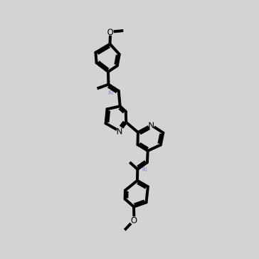 COc1ccc(/C(C)=C/c2ccnc(-c3cc(/C=C(\C)c4ccc(OC)cc4)ccn3)c2)cc1